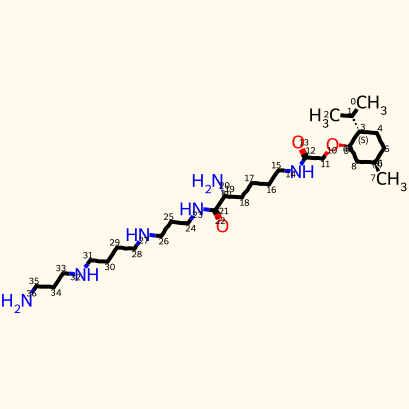 CC(C)[C@@H]1CC[C@@H](C)C[C@H]1OCC(=O)NCCCC[C@@H](N)C(=O)NCCCNCCCCNCCCN